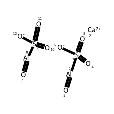 [Ca+2].[O]=[Al][S](=O)(=O)[O-].[O]=[Al][S](=O)(=O)[O-]